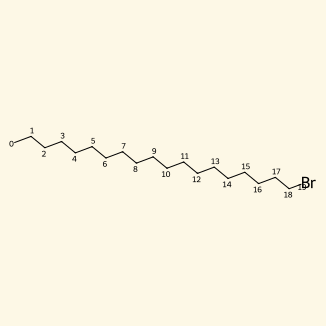 CCCCCCCCCCCCCCCCCCCBr